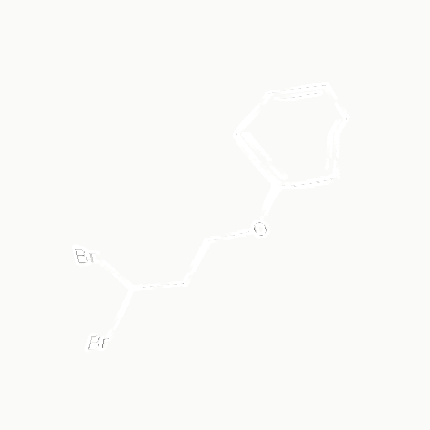 BrC(Br)CCOc1ccccc1